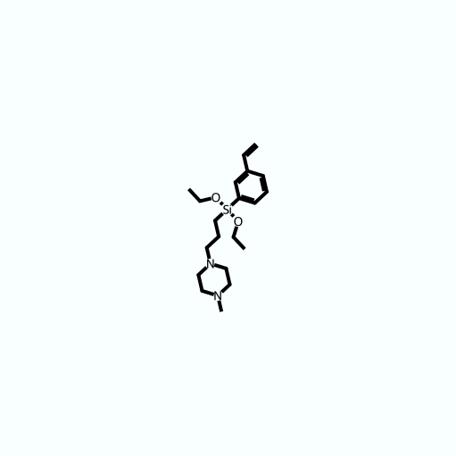 C=Cc1cccc([Si](CCCN2CCN(C)CC2)(OCC)OCC)c1